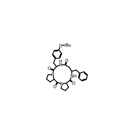 CC(C)(C)Oc1ccc(CC2NC(=O)CC(Cc3ccccc3)NC(=O)C3CCCN3C(=O)C3CCCN3C2=O)cc1